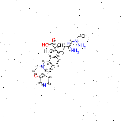 CCN(N)/C=C(\N)CCC(c1ccc(C)c(CN2CCOc3cnccc3C2)c1)C(C)(C)C(=O)O